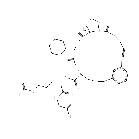 CC(C)(C)[C@H](NC(=O)[C@H](CCCNC(=N)N)NC(=O)[C@@H]1CSCc2cccc(c2)/C=C/CCC(=O)N2CCC[C@H]2C(=O)N[C@@H](C2CCCCC2)C(=O)N1)C(N)=O